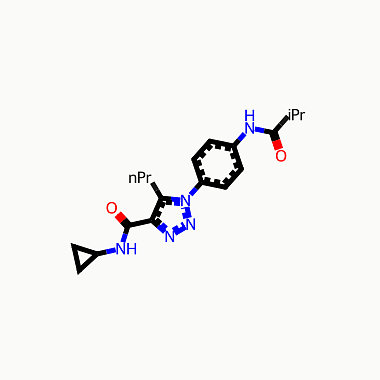 CCCc1c(C(=O)NC2CC2)nnn1-c1ccc(NC(=O)C(C)C)cc1